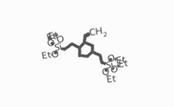 C=CC1CC(CC[Si](OCC)(OCC)OCC)CCC1CC[Si](OCC)(OCC)OCC